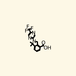 CC1(C)c2cccc(C(=O)O)c2CN1c1cnc(C(F)(F)F)cn1